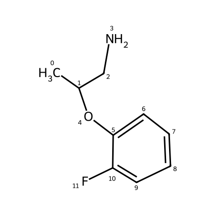 CC(CN)Oc1ccccc1F